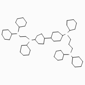 C1CCC(P(CCCP(C2CCCCC2)C2CCC(C3CCC(P(CCP(C4CCCCC4)C4CCCCC4)C4CCCCC4)CC3)CC2)C2CCCCC2)CC1